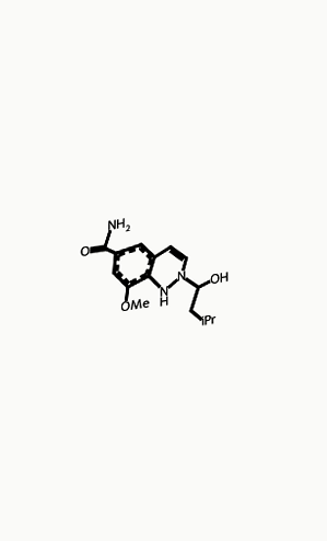 COc1cc(C(N)=O)cc2c1NN(C(O)CC(C)C)C=C2